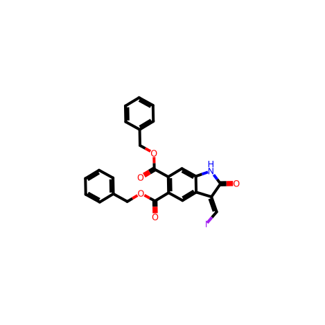 O=C1Nc2cc(C(=O)OCc3ccccc3)c(C(=O)OCc3ccccc3)cc2/C1=C\I